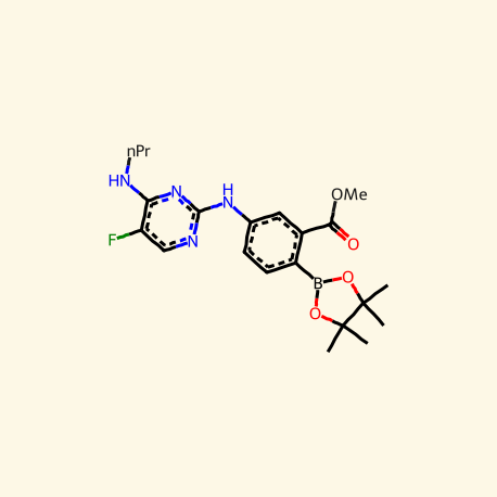 CCCNc1nc(Nc2ccc(B3OC(C)(C)C(C)(C)O3)c(C(=O)OC)c2)ncc1F